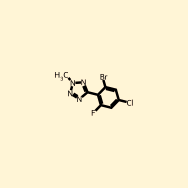 Cn1nnc(-c2c(F)cc(Cl)cc2Br)n1